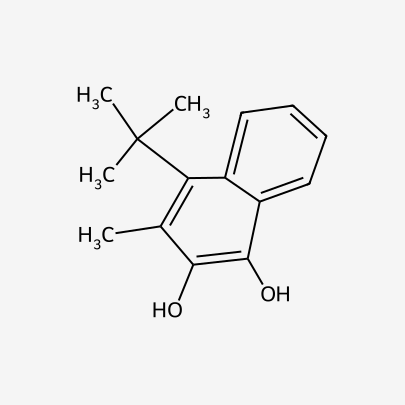 Cc1c(O)c(O)c2ccccc2c1C(C)(C)C